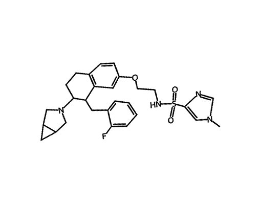 Cn1cnc(S(=O)(=O)NCCOc2ccc3c(c2)C(Cc2ccccc2F)C(N2CC4CC4C2)CC3)c1